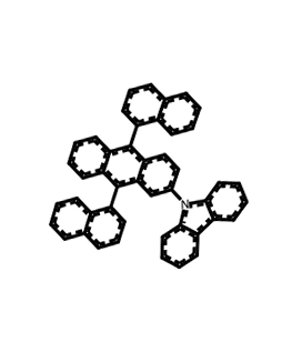 c1ccc2c(-c3c4ccccc4c(-c4cccc5ccccc45)c4cc(-n5c6ccccc6c6ccccc65)ccc34)cccc2c1